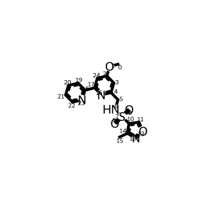 COc1cc(CNS(=O)(=O)c2conc2C)nc(-c2ccccn2)c1